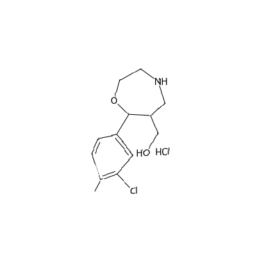 Cc1ccc(C2OCCNCC2CO)cc1Cl.Cl